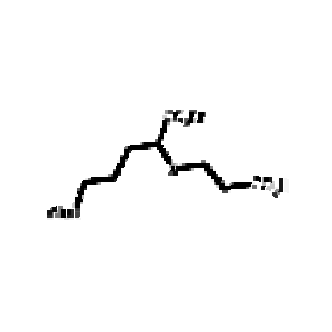 CCCCCCCCCCCCC(SCCC(=O)O)C(=O)OCC